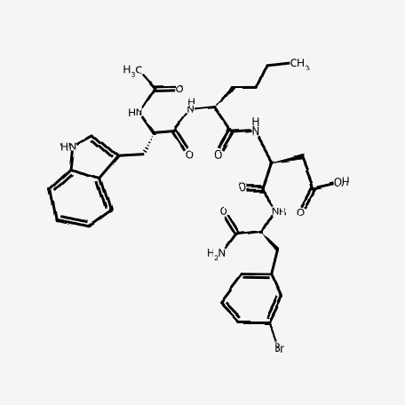 CCCC[C@H](NC(=O)[C@H](Cc1c[nH]c2ccccc12)NC(C)=O)C(=O)N[C@@H](CC(=O)O)C(=O)N[C@@H](Cc1cccc(Br)c1)C(N)=O